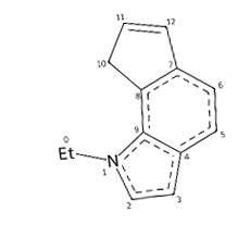 CCn1ccc2ccc3c(c21)CC=C3